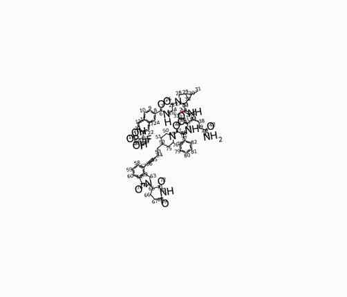 CCCC[C@H](NC(=O)c1ccc2ccc(C(F)(F)P(=O)(O)O)cc2c1)C(=O)N1CC2C(C)C2[C@H]1C(=O)N[C@@H](CCC(N)=O)C(=O)N[C@H](C(=O)N1CCC(CCC#Cc2cccc3c2CN(C2CCC(=O)NC2=O)C3=O)CC1)c1ccccc1